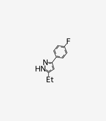 CCc1cc(-c2ccc(F)cc2)n[nH]1